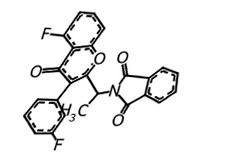 CC(c1oc2cccc(F)c2c(=O)c1-c1cccc(F)c1)N1C(=O)c2ccccc2C1=O